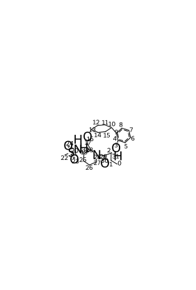 CC[C@@H]1Oc2ccccc2C2CCC(CC2)OC[C@H]2C(NS(C)(=O)=O)CCCN2C1=O